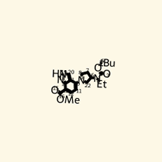 CCN(C(=O)OC(C)(C)C)C1CCN(c2ccc(C(=O)OC)c3n[nH]cc23)C1